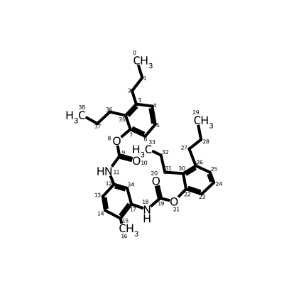 CCCc1cccc(OC(=O)Nc2ccc(C)c(NC(=O)Oc3cccc(CCC)c3CCC)c2)c1CCC